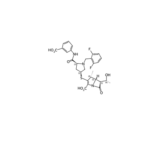 C[C@@H](O)[C@H]1C(=O)N2C(C(=O)O)=C(S[C@H]3C[C@@H](C(=O)Nc4cccc(C(=O)O)c4)N(Cc4c(F)cccc4F)C3)[C@H](C)[C@H]12